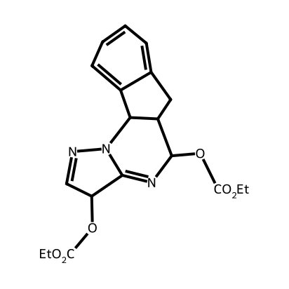 CCOC(=O)OC1C=NN2C1=NC(OC(=O)OCC)C1Cc3ccccc3C12